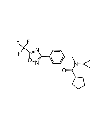 O=C(C1CCCC1)N(Cc1ccc(-c2noc(C(F)(F)F)n2)cc1)C1CC1